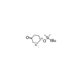 C[C@@H]1CC(=O)CC[C@@H]1O[Si](C)(C)C(C)(C)C